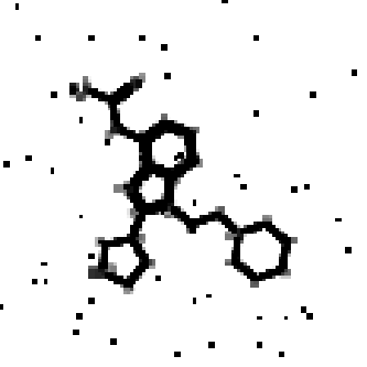 NC(=O)Oc1cccc2c1nc(C1CCNC1)n2CCN1CCCCC1